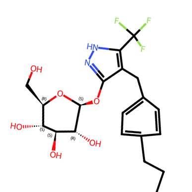 CCCc1ccc(Cc2c(O[C@@H]3O[C@H](CO)[C@@H](O)[C@H](O)[C@H]3O)n[nH]c2C(F)(F)F)cc1